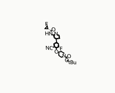 CC(C)(C)OC(=O)N1CC[C@H](Oc2ccc(-c3ccnc(NC(=O)[C@@H]4C[C@H]4F)c3)cc2C#N)[C@H](F)C1